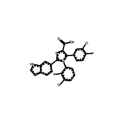 O=C(O)c1nc(-c2ccc3cc[nH]c3c2)n(-c2cccc(Cl)c2F)c1-c1ccc(F)c(Cl)c1